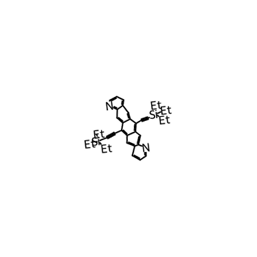 CC[Si](C#Cc1c2cc3cccnc3cc2c(C#C[Si](CC)(CC)CC)c2cc3cccnc3cc12)(CC)CC